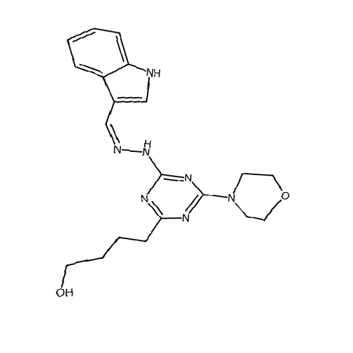 OCCCCc1nc(N/N=C\c2c[nH]c3ccccc23)nc(N2CCOCC2)n1